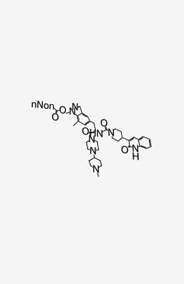 CCCCCCCCCC(=O)OCn1ncc2cc(CC(NC(=O)N3CCC(c4cc5ccccc5[nH]c4=O)CC3)C(=O)N3CCN(C4CCN(C)CC4)CC3)cc(C)c21